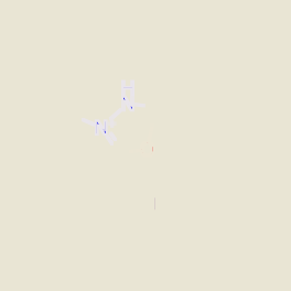 C[N+]1=C(C2=CC=CCC2I)OC(c2ccccc2)N1